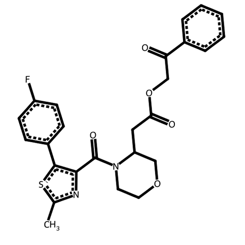 Cc1nc(C(=O)N2CCOCC2CC(=O)OCC(=O)c2ccccc2)c(-c2ccc(F)cc2)s1